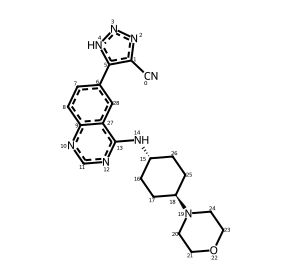 N#Cc1nn[nH]c1-c1ccc2ncnc(N[C@H]3CC[C@H](N4CCOCC4)CC3)c2c1